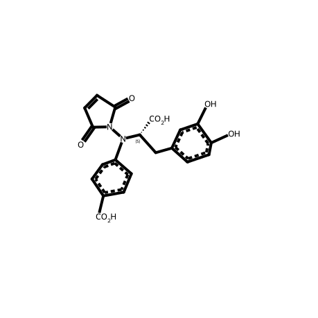 O=C(O)c1ccc(N([C@@H](Cc2ccc(O)c(O)c2)C(=O)O)N2C(=O)C=CC2=O)cc1